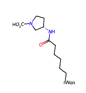 CCCCCCCCCCCCCCC(=O)N[C@H]1CCN(C(=O)O)C1